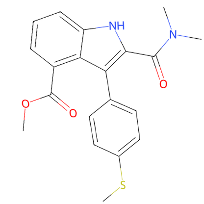 COC(=O)c1cccc2[nH]c(C(=O)N(C)C)c(-c3ccc(SC)cc3)c12